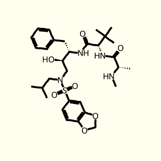 CN[C@@H](C)C(=O)N[C@H](C(=O)N[C@@H](Cc1ccccc1)[C@H](O)CN(CC(C)C)S(=O)(=O)c1ccc2c(c1)OCO2)C(C)(C)C